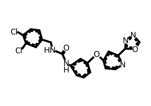 O=C(NCc1ccc(Cl)c(Cl)c1)Nc1cccc(Oc2ccnc(-c3nnco3)c2)c1